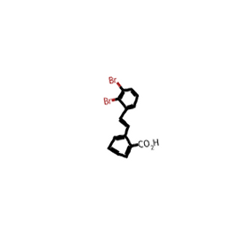 O=C(O)c1ccccc1C=Cc1cccc(Br)c1Br